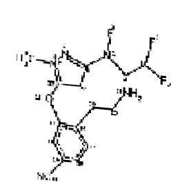 CCN(CC(F)F)C1=N[N+](C)=C(Oc2cc(C#N)ccc2CCN)C1